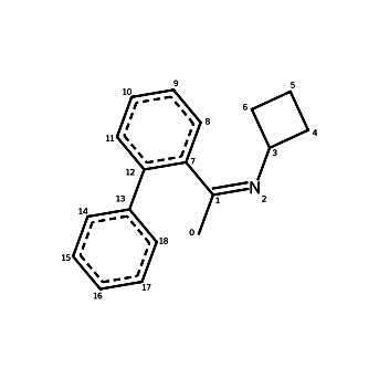 C/C(=N/C1CCC1)c1ccccc1-c1ccccc1